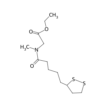 CCOC(=O)CN(C)C(=O)CCCCC1CCSS1